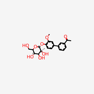 COc1cc(-c2cccc(C(C)=O)c2)ccc1O[C@H]1OC(CO)[C@@H](O)C(O)[C@]1(C)O